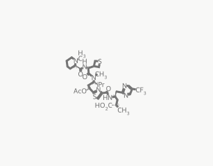 CC(=O)O[C@H](C[C@H](C(C)C)N(C)C(=O)[C@@H](NC(=O)[C@H]1CCCCN1C)C1CSC1)c1nc(C(=O)N[C@@H](Cc2ncc(C(F)(F)F)cn2)C[C@H](C)C(=O)O)cs1